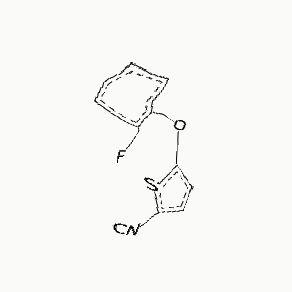 [C-]#[N+]c1ccc(Oc2ccccc2F)s1